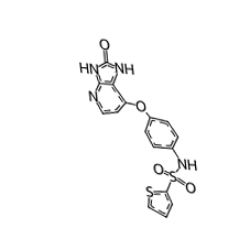 O=c1[nH]c2nccc(Oc3ccc(NS(=O)(=O)c4cccs4)cc3)c2[nH]1